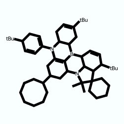 CC(C)(C)C1=CCC2C(C1)B1C3=C(CC(C4CCCCCCC4)CC3N3C4C1C=CC(C(C)(C)C)C4C1(CCCCC1)C3(C)C)N2C1=CCC(C(C)(C)C)C=C1